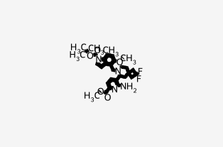 COC(=O)c1ccc(C2CC3(CCN2Cc2c(OC)cc(C)c4c2ccn4C(=O)OC(C)(C)C)CC(F)(F)C3)c(N)n1